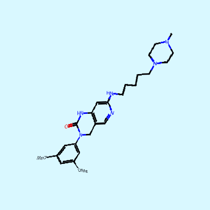 COc1cc(OC)cc(N2Cc3cnc(NCCCCCN4CCN(C)CC4)cc3NC2=O)c1